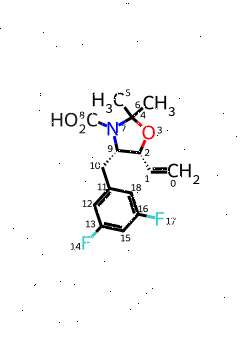 C=C[C@H]1OC(C)(C)N(C(=O)O)[C@H]1Cc1cc(F)cc(F)c1